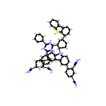 N#Cc1ccc(-c2ccc3c(c2)c2cc(-c4ccc(C#N)cc4C#N)ccc2n3-c2ccc(-c3cccc4c3sc3ccccc34)cc2-c2nc(-c3ccccc3)nc(-c3ccccc3)n2)c(C#N)c1